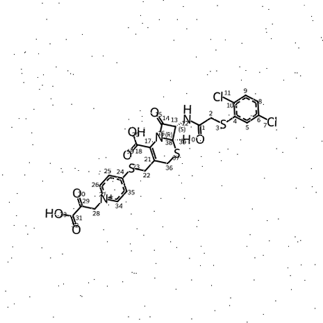 O=C(CSc1cc(Cl)ccc1Cl)N[C@H]1C(=O)N2C(C(=O)O)=C(CSc3cc[n+](CC(=O)C(=O)O)cc3)CS[C@H]12